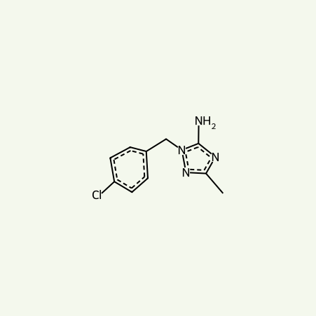 Cc1nc(N)n(Cc2ccc(Cl)cc2)n1